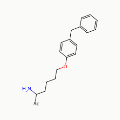 CC(=O)C(N)CCCCOc1ccc(Cc2ccccc2)cc1